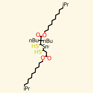 CCCCC(CCCC)(C(=O)OCCCCCCCCCCC(C)C)[CH](S)[Sn][CH](S)CC(=O)OCCCCCCCCCCC(C)C